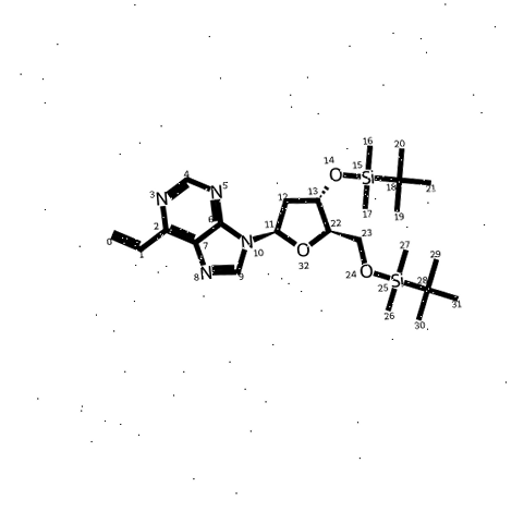 C=Cc1ncnc2c1ncn2[C@H]1C[C@H](O[Si](C)(C)C(C)(C)C)[C@@H](CO[Si](C)(C)C(C)(C)C)O1